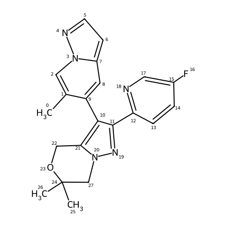 Cc1cn2nccc2cc1-c1c(-c2ccc(F)cn2)nn2c1COC(C)(C)C2